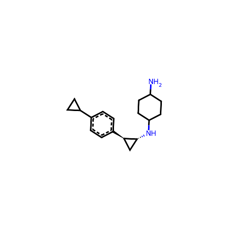 NC1CCC(N[C@@H]2C[C@H]2c2ccc(C3CC3)cc2)CC1